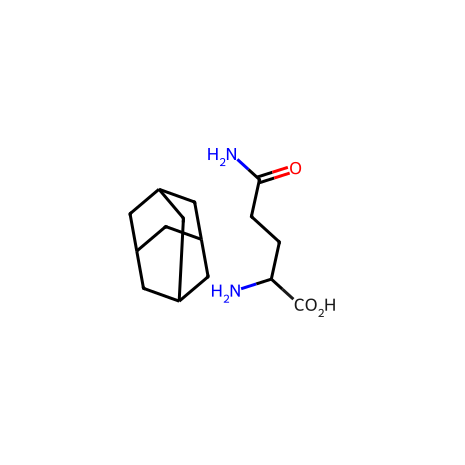 C1C2CC3CC1CC(C2)C3.NC(=O)CCC(N)C(=O)O